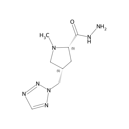 CN1C[C@@H](Cn2ncnn2)C[C@H]1C(=O)NN